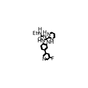 CCNC(=O)NC1(c2ncccn2)Nc2ccc(-c3cncc(F)c3)cc2N1